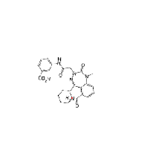 CN1C(=O)N(CC(=O)Nc2cccc(C(=O)O)c2)N=C(C2CCCCC2)c2c(C(N)=O)cccc21